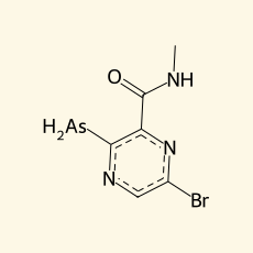 CNC(=O)c1nc(Br)cnc1[AsH2]